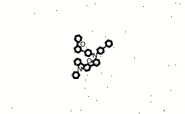 c1ccc(-c2ccc(N(c3ccc(-c4cccc5c4oc4ccccc45)cc3)c3cccc4c3oc3c4ccc4c3c3ccccc3n4-c3ccccc3)cc2)cc1